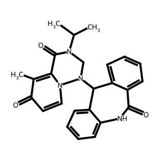 Cc1c2n(ccc1=O)N(C1c3ccccc3NC(=O)c3ccccc31)CN(C(C)C)C2=O